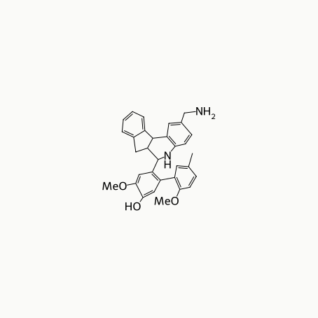 COc1cc(C2Nc3ccc(CN)cc3C3c4ccccc4CC23)c(-c2cc(C)ccc2OC)cc1O